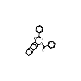 O=C(OC1C2CC(C1OC(=O)c1ccccc1)C1C3CCC(O3)C21)c1ccccc1